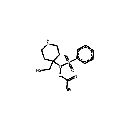 CCCC(=O)ON(C1(CS)CCNCC1)S(=O)(=O)c1ccccc1